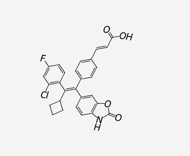 O=C(O)/C=C/c1ccc(/C(=C(\c2ccc(F)cc2Cl)C2CCC2)c2ccc3[nH]c(=O)oc3c2)cc1